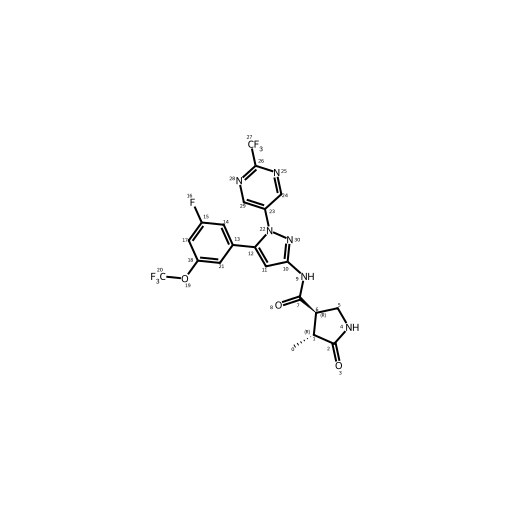 C[C@H]1C(=O)NC[C@@H]1C(=O)Nc1cc(-c2cc(F)cc(OC(F)(F)F)c2)n(-c2cnc(C(F)(F)F)nc2)n1